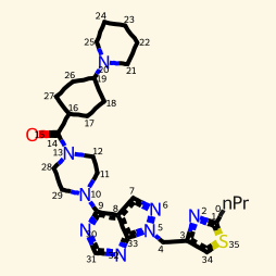 CCCc1nc(Cn2ncc3c(N4CCN(C(=O)C5CCC(N6CCCCC6)CC5)CC4)ncnc32)cs1